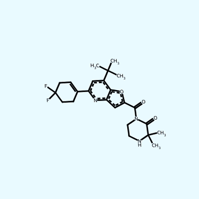 CC1(C)NCCN(C(=O)c2cc3nc(C4=CCC(F)(F)CC4)cc(C(C)(C)C)c3o2)C1=O